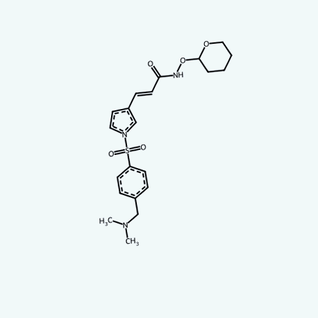 CN(C)Cc1ccc(S(=O)(=O)n2ccc(C=CC(=O)NOC3CCCCO3)c2)cc1